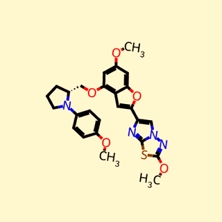 COc1ccc(N2CCC[C@@H]2COc2cc(OC)cc3oc(-c4cn5nc(OC)sc5n4)cc23)cc1